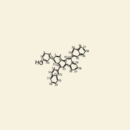 Oc1cccc(-c2ccc3c(c2)c(-c2ccc4ccccc4c2)cc2c4ccccc4c(-c4ccc5ccccc5c4)cc32)c1